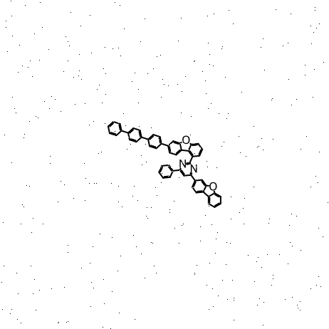 c1ccc(-c2ccc(-c3ccc(-c4ccc5c(c4)oc4cccc(-c6nc(-c7ccccc7)cc(-c7ccc8c(c7)oc7ccccc78)n6)c45)cc3)cc2)cc1